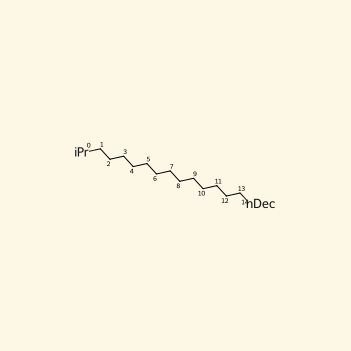 [CH2]C(C)CCCCCCCCCCCCCCCCCCCCCCC